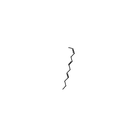 C/C=C\CC=CCC=CCCC